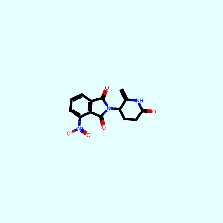 C=C1NC(=O)CCC1N1C(=O)c2cccc([N+](=O)[O-])c2C1=O